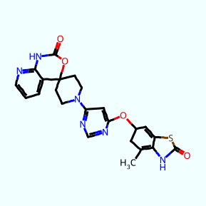 CC1=c2[nH]c(=O)sc2=CC(Oc2cc(N3CCC4(CC3)OC(=O)Nc3ncccc34)ncn2)C1